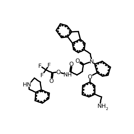 NCc1cccc(Oc2ccccc2N(Cc2ccc3c(c2)Cc2ccccc2-3)C(=O)CCC(=O)NOC(=O)C(F)(F)F)c1.c1ccc2c(c1)CCNC2